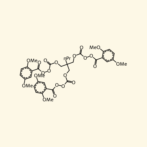 CCCC(COC(=O)OOC(=O)c1cc(OC)ccc1OC)(COC(=O)OOC(=O)c1cc(OC)ccc1OC)COC(=O)OOC(=O)c1cc(OC)ccc1OC